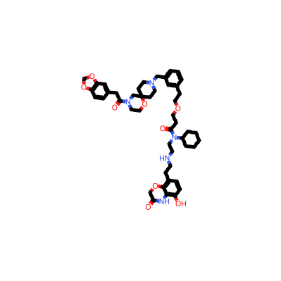 O=C1COc2c(CCNCCN(C(=O)CCOCCc3cccc(CN4CCC5(CC4)CN(C(=O)Cc4ccc6c(c4)OCO6)CCO5)c3)C3CCCCC3)ccc(O)c2N1